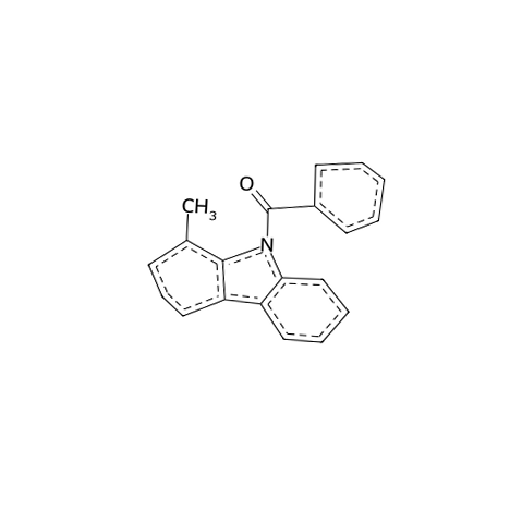 Cc1cccc2c3ccccc3n(C(=O)c3ccccc3)c12